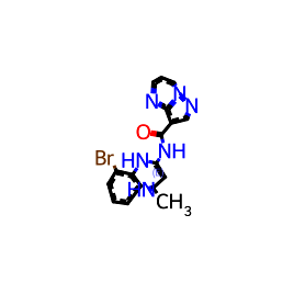 CC(=N)/C=C(/NC(=O)c1cnn2cccnc12)Nc1ccccc1Br